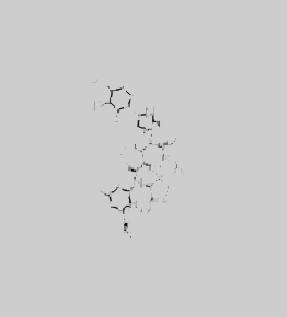 CO[C@@H]1[C@@H](n2cc(-c3ccc(Br)c(F)c3F)nn2)[C@@H](O)[C@@H](CO)O[C@H]1C(=O)N(c1cc(F)cc(C#N)c1)[C@H]1CCC[C@@H]1O